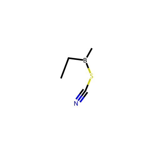 CCB(C)SC#N